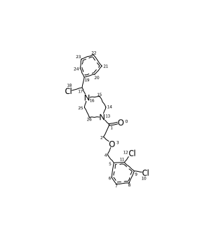 O=C(COCc1cccc(Cl)c1Cl)N1CCN(C(Cl)c2ccccc2)CC1